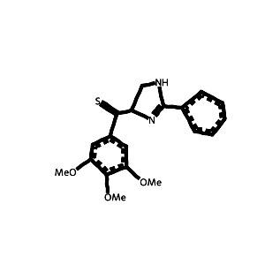 COc1cc(C(=S)C2CNC(c3ccccc3)=N2)cc(OC)c1OC